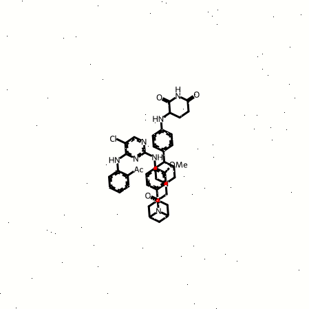 COc1cc(N2CC3CC(C2)N3C(=O)CN2CCC(c3ccc(NC4CCC(=O)NC4=O)cc3)CC2)ccc1Nc1ncc(Cl)c(Nc2ccccc2C(C)=O)n1